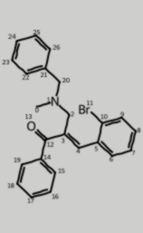 CN(C/C(=C\c1ccccc1Br)C(=O)c1ccccc1)Cc1ccccc1